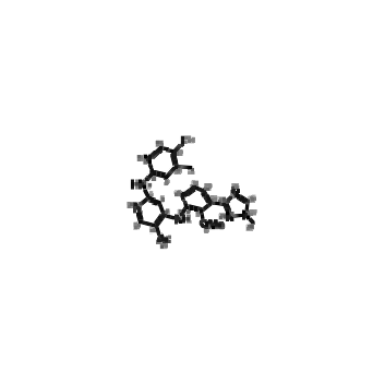 COc1c(Nc2cc(Nc3cc(C)c(F)cn3)ncc2C(C)=O)cccc1-c1ncn(C)n1